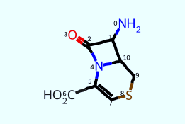 NC1C(=O)N2C(C(=O)O)=CSCC12